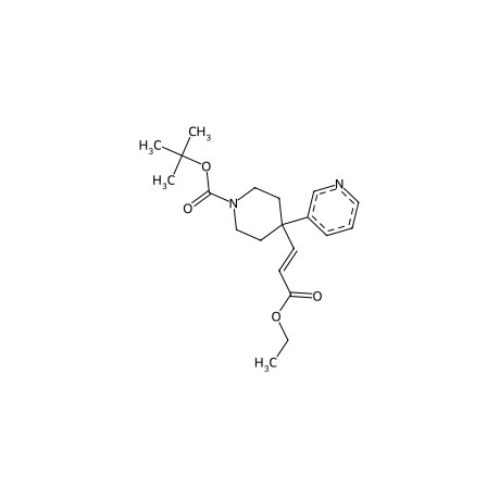 CCOC(=O)C=CC1(c2cccnc2)CCN(C(=O)OC(C)(C)C)CC1